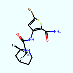 NC(=O)c1sc(Br)cc1NC(=O)[C@H]1CC2CCN1CC2